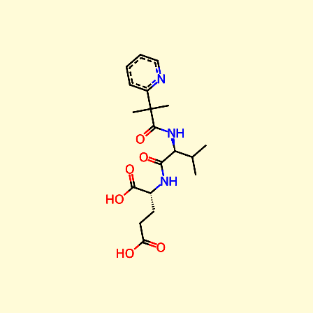 CC(C)[C@H](NC(=O)C(C)(C)c1ccccn1)C(=O)N[C@H](CCC(=O)O)C(=O)O